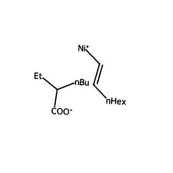 CCCCC(CC)C(=O)[O-].CCCCCCC=[CH][Ni+]